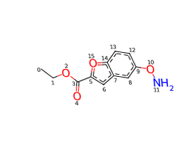 CCOC(=O)c1cc2cc(ON)ccc2o1